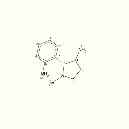 [2H]N1CCC(N)[C@H]1c1ccccc1N